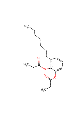 CCCCCCCc1cccc(OC(=O)CC)c1OC(=O)CC